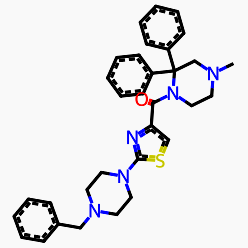 CN1CCN(C(=O)c2csc(N3CCN(Cc4ccccc4)CC3)n2)C(c2ccccc2)(c2ccccc2)C1